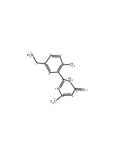 NCc1ccc(C(F)(F)F)c(-c2nc(C(F)(F)F)cc(=O)[nH]2)c1